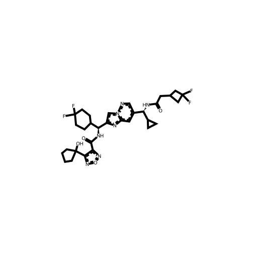 O=C(CC1CC(F)(F)C1)N[C@@H](c1cnn2cc([C@@H](NC(=O)c3nonc3C3(O)CCCC3)C3CCC(F)(F)CC3)nc2c1)C1CC1